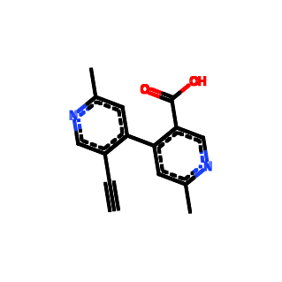 C#Cc1cnc(C)cc1-c1cc(C)ncc1C(=O)O